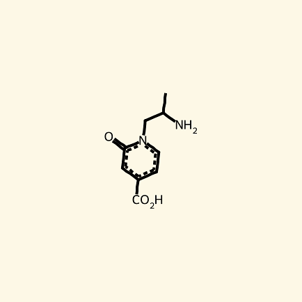 CC(N)Cn1ccc(C(=O)O)cc1=O